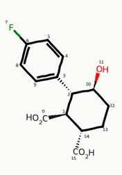 O=C(O)[C@H]1[C@H](c2ccc(F)cc2)[C@@H](O)CC[C@@H]1C(=O)O